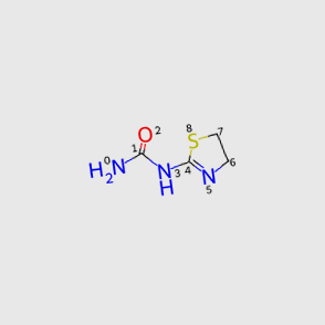 NC(=O)NC1=NCCS1